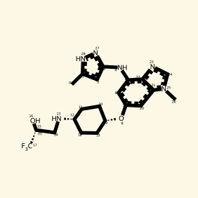 Cc1cc(Nc2cc(O[C@H]3CC[C@@H](NC[C@@H](O)C(F)(F)F)CC3)cc3c2ncn3C)n[nH]1